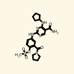 CS(=O)(=O)Oc1ccc(Nc2ncc(C(N)=O)c(NC3CCCC3)n2)cc1C(=O)N1CCCC1